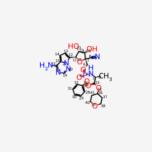 C[C@H](N[P@](=O)(OC[C@@]1(C#N)O[C@@H](c2ccc3c(N)ncnn23)[C@H](O)[C@@H]1O)Oc1ccccc1)C(=O)OC1CCOCC1